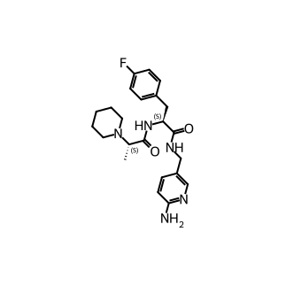 C[C@@H](C(=O)N[C@@H](Cc1ccc(F)cc1)C(=O)NCc1ccc(N)nc1)N1CCCCC1